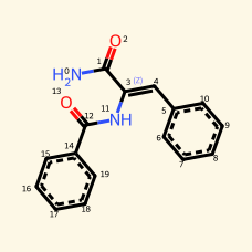 NC(=O)/C(=C/c1ccccc1)NC(=O)c1ccccc1